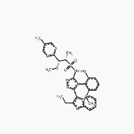 CCc1nc2ccccn2c1-c1nnc(NS(=O)(=O)[C@@H](C)[C@H](OC)c2ncc(C)cn2)n1-c1c(O)cccc1OC